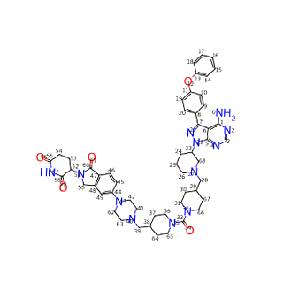 Nc1ncnc2c1c(-c1ccc(Oc3ccccc3)cc1)nn2C1CCCN(CC2CCN(C(=O)N3CCC(CN4CCN(c5ccc6c(c5)CN(C5CCC(=O)NC5=O)C6=O)CC4)CC3)CC2)C1